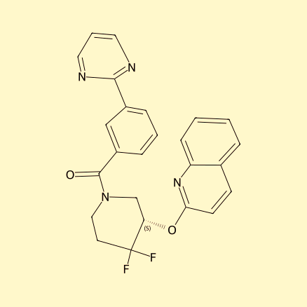 O=C(c1cccc(-c2ncccn2)c1)N1CCC(F)(F)[C@@H](Oc2ccc3ccccc3n2)C1